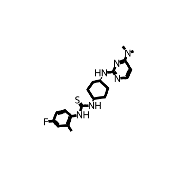 Cc1cc(F)ccc1NC(=S)N[C@H]1CC[C@@H](Nc2nccc(N(C)C)n2)CC1